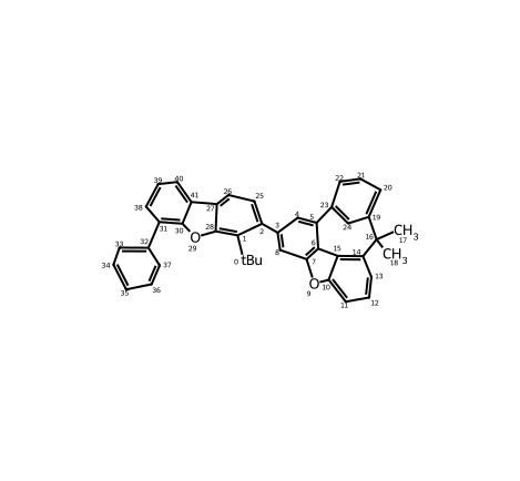 CC(C)(C)c1c(-c2cc3c4c(c2)oc2cccc(c24)C(C)(C)c2cccc-3c2)ccc2c1oc1c(-c3ccccc3)cccc12